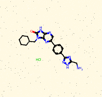 Cl.NCc1nc(-c2ccc(-c3cnc4[nH]c(=O)n(CC5CCCCC5)c4n3)cc2)n[nH]1